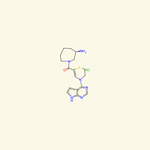 Cl.N[C@@H]1CCCCN(C(=O)C2=CN(c3ncnc4[nH]ccc34)CCS2)C1